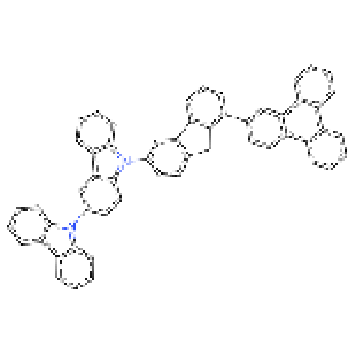 c1cc(-c2ccc3c4ccccc4c4ccccc4c3c2)c2c(c1)-c1cc(-n3c4ccccc4c4cc(-n5c6ccccc6c6ccccc65)ccc43)ccc1C2